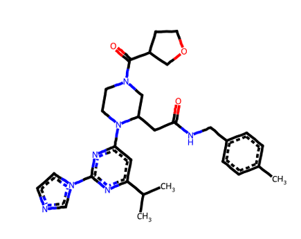 Cc1ccc(CNC(=O)CC2CN(C(=O)C3CCOC3)CCN2c2cc(C(C)C)nc(-n3ccnc3)n2)cc1